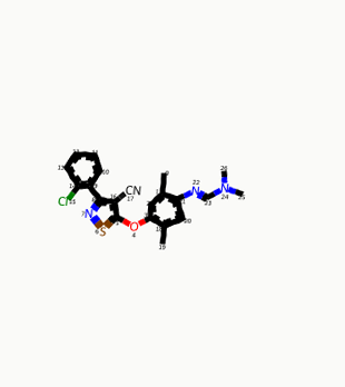 Cc1cc(Oc2snc(-c3ccccc3Cl)c2C#N)c(C)cc1N=CN(C)C